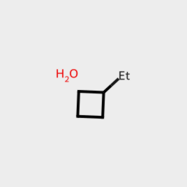 CCC1CCC1.O